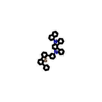 c1ccc(-c2cccc3c2sc2c(-c4cccc(-n5c6ccccc6c6c7c8ccccc8n(-c8cccc9ccccc89)c7ccc65)c4)cccc23)cc1